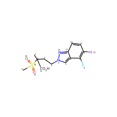 CC(CCn1cc2c(F)c(I)ccc2n1)(C(=O)O)S(C)(=O)=O